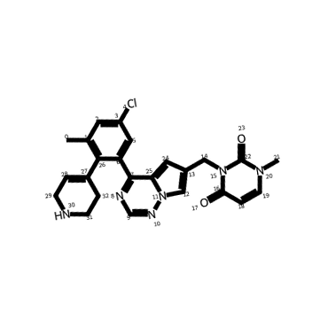 Cc1cc(Cl)cc(-c2ncnn3cc(Cn4c(=O)ccn(C)c4=O)cc23)c1C1=CCNCC1